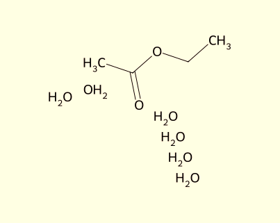 CCOC(C)=O.O.O.O.O.O.O